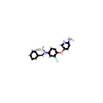 Nc1ccc(Oc2ccc(N(Cc3ccccc3)C(=O)O)cc2F)cn1